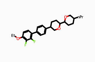 CCCC1CCC(C2CCC(c3ccc(-c4ccc(OCC)c(F)c4F)cc3)CO2)OC1